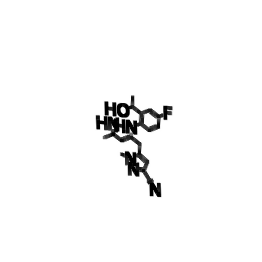 CC(=N)/C=C(/Cc1cc(C#N)nn1C)Nc1ccc(F)cc1C(C)O